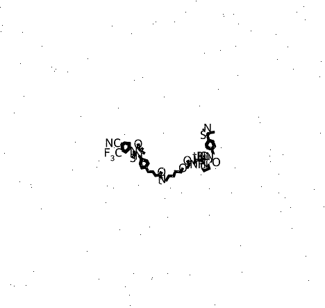 Cc1ncsc1-c1ccc(CNC(=O)[C@@H]2CCCN2C(=O)[C@@H](NC(=O)COCCCCCN(C)C(=O)CCCc2ccc(N3C(=S)N(c4ccc(C#N)c(C(F)(F)F)c4)C(=O)C3(C)C)cc2)C(C)(C)C)cc1